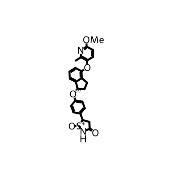 COc1ccc(Oc2cccc3c2CC[C@H]3Oc2ccc(C3CC(=O)N[S+]3[O-])cc2)c(C)n1